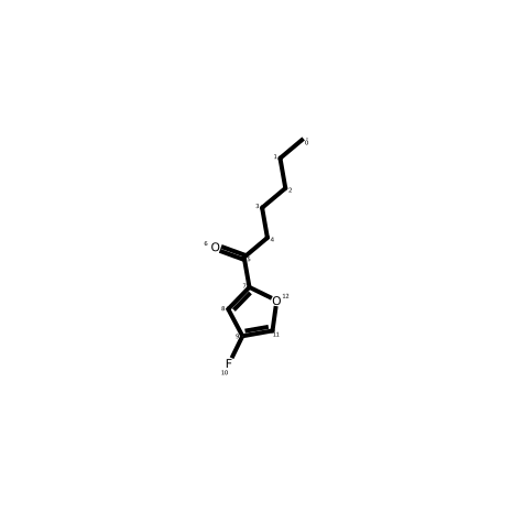 [CH2]CCCCC(=O)c1cc(F)co1